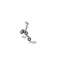 CCOCOCCCc1ccc(/C(C)=C/c2ccc(C(=O)OCC)cc2)cc1C12CC3CC(CC(C3)C1)C2